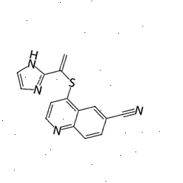 C=C(Sc1ccnc2ccc(C#N)cc12)c1ncc[nH]1